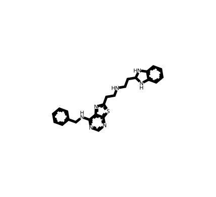 c1ccc(CNc2ncnc3sc(CCNCCC4Nc5ccccc5N4)nc23)cc1